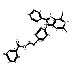 Cc1cc2c(nc(-c3ccccc3)n2-c2ccc(CCOC(=O)c3ccccc3)cc2)c(C)n1